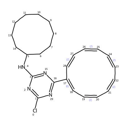 Clc1nc(NC2CCCCCCCCC2)nc(C2=C/C=C\C=C/C=C\C=C/C=C\2)n1